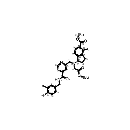 Cc1cc(CNC(=O)c2cc(CN(CC(=O)OC(C)(C)C)[C@@H]3CCc4c3ccc(C(=O)OC(C)(C)C)c4C)ncn2)ccc1F